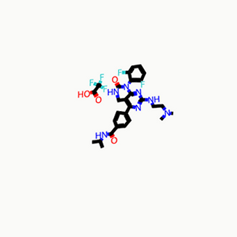 CC(C)NC(=O)c1ccc(-c2nc(NCCN(C)C)nc3c2CNC(=O)N3c2c(F)cccc2F)cc1.O=C(O)C(F)(F)F